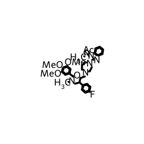 COc1cc(C(=O)N(C)CC(CCN2CCCN(c3nc4ccccc4n3N(C)C(C)=O)CC2)c2ccc(F)cc2)cc(OC)c1OC